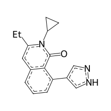 CCc1cc2cccc(-c3cn[nH]c3)c2c(=O)n1C1CC1